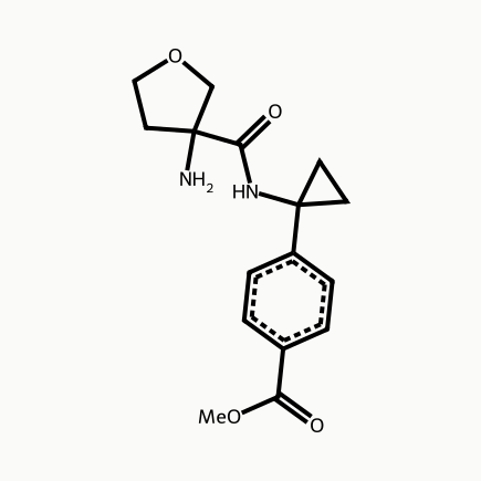 COC(=O)c1ccc(C2(NC(=O)C3(N)CCOC3)CC2)cc1